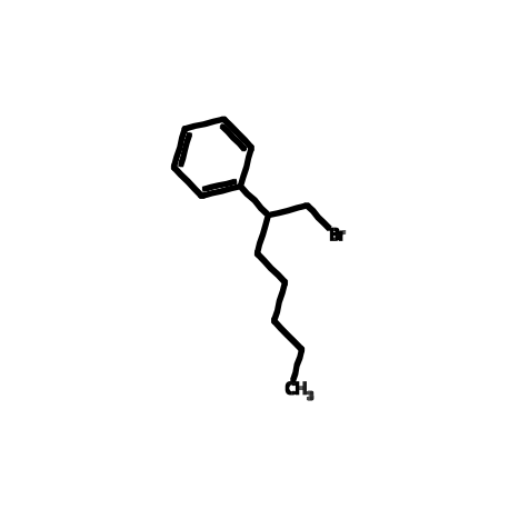 CCCCCC(CBr)c1ccccc1